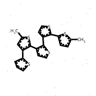 Cc1ccc(-c2sccc2-c2sccc2-c2sc(C)cc2-c2cccs2)s1